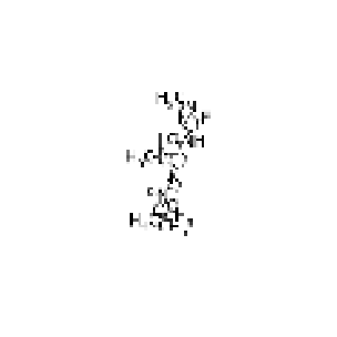 Cc1cn2cc(NC(=O)c3ccc(N4CC[C@H](N(C(=O)OC(C)(C)C)C5CC5)C4)c4cc(C)[nH]c34)cc(F)c2n1